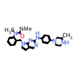 CNC(=O)N(C)c1ccccc1Cn1ccc2cnc(Nc3ccc(N4CCN[C@H](C)C4)cc3)nc21